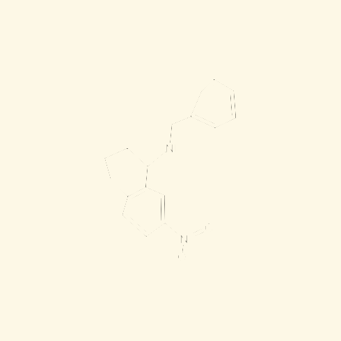 O=[N+]([O-])c1ccc2c(c1)C(NCc1ccccc1)CCC2